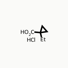 CCC1(C(=O)O)CC1.Cl